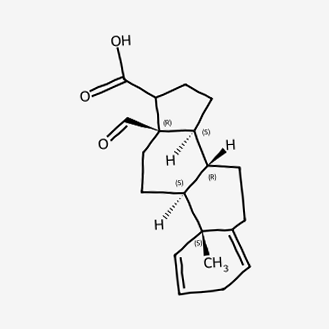 C[C@]12C=CCC=C1CC[C@@H]1[C@@H]2CC[C@]2(C=O)C(C(=O)O)CC[C@@H]12